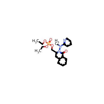 CCOP(=O)(OCC)OCc1cc2ccccc2c(=O)n1N(C)c1ccccn1